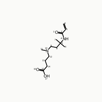 C=CC(=O)NC(C)(C)CCN(C)CCCC(=O)O